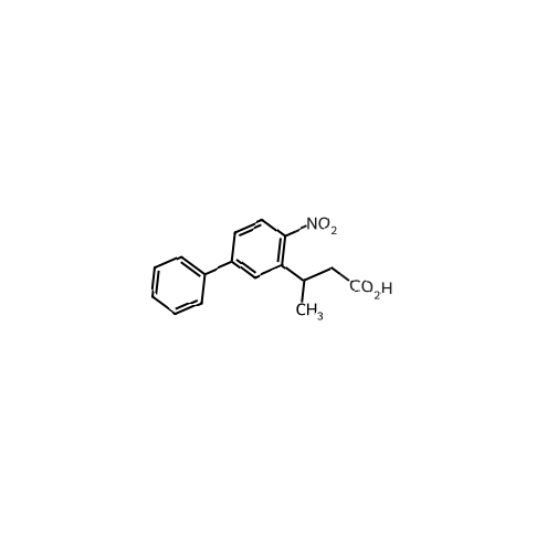 CC(CC(=O)O)c1cc(-c2ccccc2)ccc1[N+](=O)[O-]